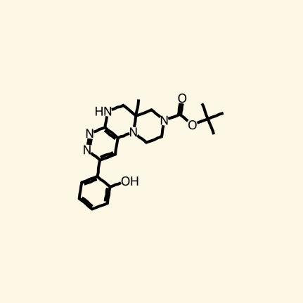 CC(C)(C)OC(=O)N1CCN2c3cc(-c4ccccc4O)nnc3NCC2(C)C1